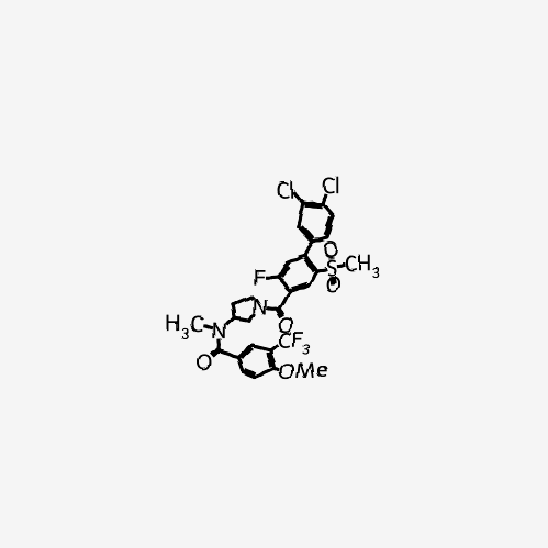 COc1ccc(C(=O)N(C)C2CCN(C(=O)c3cc(S(C)(=O)=O)c(-c4ccc(Cl)c(Cl)c4)cc3F)C2)cc1C(F)(F)F